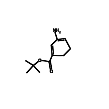 CC(C)(C)OC(=O)C1=CC(N)=CCC1